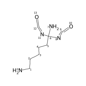 NCCCCCC(N)(N=C=O)N=C=O